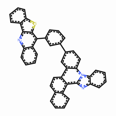 c1cc(-c2ccc3c(c2)c2ccc4ccccc4c2c2nc4ccccc4n32)cc(-c2c3ccccc3nc3c2sc2ccccc23)c1